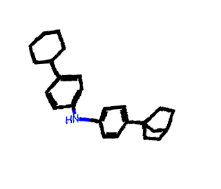 c1cc(C2CCCCC2)ccc1Nc1ccc(C23CCC(CC2)C3)cc1